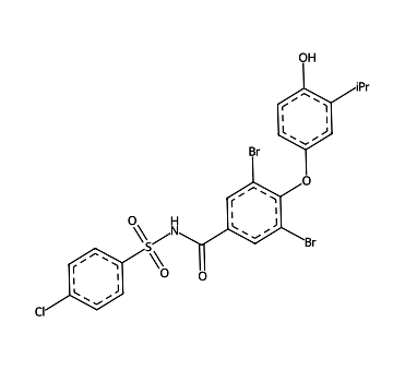 CC(C)c1cc(Oc2c(Br)cc(C(=O)NS(=O)(=O)c3ccc(Cl)cc3)cc2Br)ccc1O